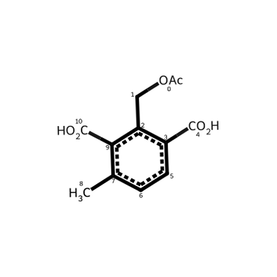 CC(=O)OCc1c(C(=O)O)ccc(C)c1C(=O)O